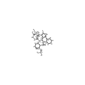 CCOC(=O)c1c(C)oc2c1c(C(c1ccnc(OC(C)C)c1)N1CCN(C)CC1)c(O)c1ccccc12